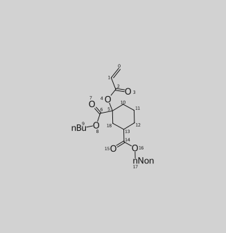 C=CC(=O)OC1(C(=O)OCCCC)CCCC(C(=O)OCCCCCCCCC)C1